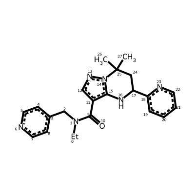 CCN(Cc1ccncc1)C(=O)c1cnn2c1NC(c1ccccn1)CC2(C)C